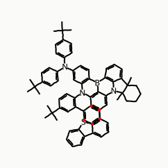 CC(C)(C)c1ccc(N(c2ccc(C(C)(C)C)cc2)c2ccc3c(c2)N(c2ccc(C(C)(C)C)cc2-c2ccccc2)c2cc(-c4cccc5c4sc4ccccc45)cc4c2B3c2cccc3c2N4C2(C)CCCCC32C)cc1